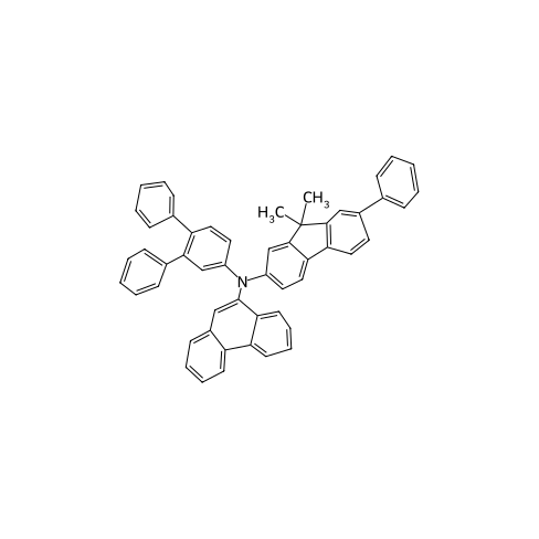 CC1(C)c2cc(-c3ccccc3)ccc2-c2ccc(N(c3ccc(-c4ccccc4)c(-c4ccccc4)c3)c3cc4ccccc4c4ccccc34)cc21